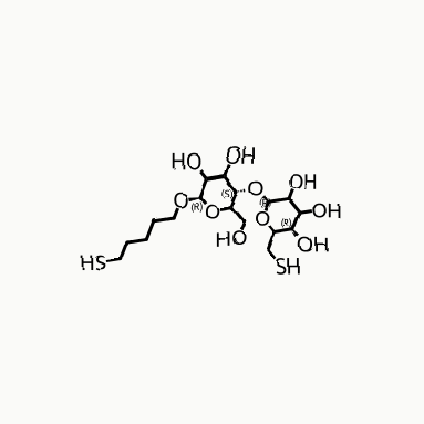 OCC1O[C@@H](OCCCCCS)C(O)C(O)[C@@H]1O[C@@H]1OC(CS)[C@H](O)C(O)C1O